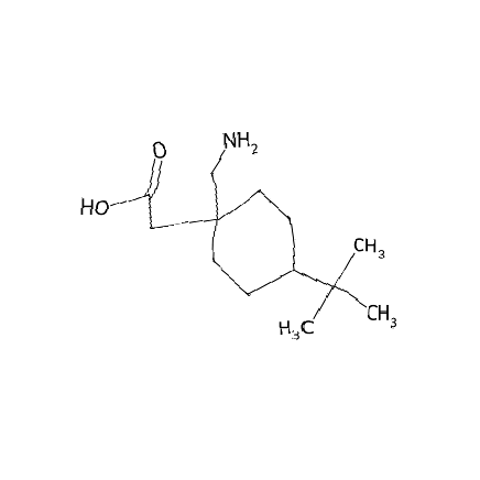 CC(C)(C)C1CCC(CN)(CC(=O)O)CC1